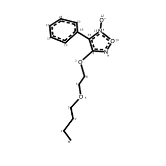 CCCCOCCOc1no[n+]([O-])c1-c1ccccc1